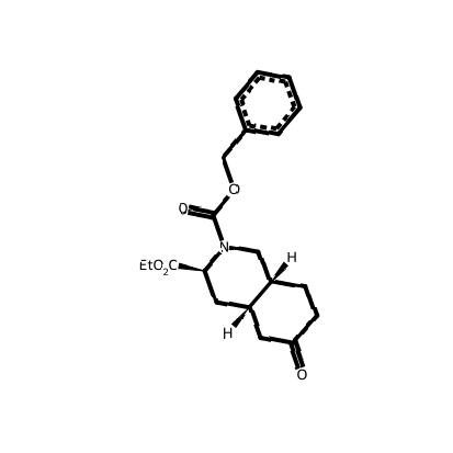 CCOC(=O)[C@@H]1C[C@H]2CC(=O)CC[C@H]2CN1C(=O)OCc1ccccc1